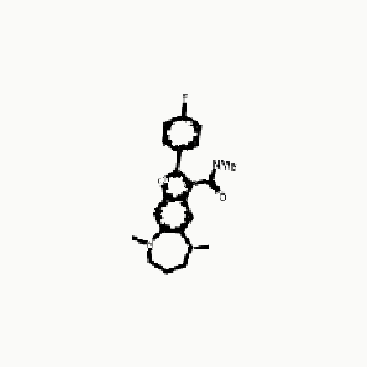 CNC(=O)c1c(-c2ccc(F)cc2)oc2cc3c(cc12)[C@@H](C)CCCN3C